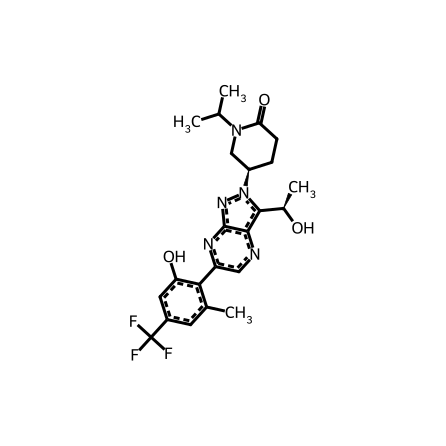 Cc1cc(C(F)(F)F)cc(O)c1-c1cnc2c([C@@H](C)O)n([C@@H]3CCC(=O)N(C(C)C)C3)nc2n1